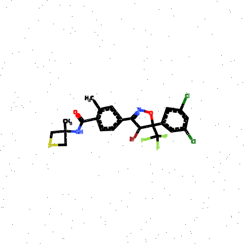 Cc1cc(C2=NOC(c3cc(Cl)cc(Cl)c3)(C(F)(F)F)C2Br)ccc1C(=O)NC1(C)CSC1